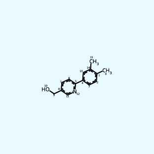 Cc1ccc(-c2ccc(CO)cn2)cc1C